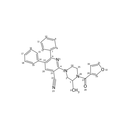 CC1CN(c2nc(-c3ccccc3)c(-c3ccccc3)cc2C#N)CCN1C(=O)c1ccoc1